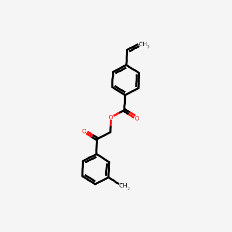 C=Cc1ccc(C(=O)OCC(=O)c2cccc(C)c2)cc1